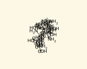 CC[C@H](C)[C@H](NC(=O)[C@H](CC(N)=O)NC(=O)[C@H](CCC(=O)O)NC(=O)[C@@H](NC(=O)[C@@H](NC(=O)[C@H](CCCCN)NC(=O)[C@H](CC(C)C)NC(=O)[C@H](CCCCN)NC(=O)[C@H](Cc1ccccc1)NC(=O)[C@H](CCC(=O)O)NC(=O)[C@@H](NC(=O)[C@@H](N)CCC(=O)O)C(C)C)[C@@H](C)O)[C@@H](C)O)C(=O)N1CCC[C@H]1C(=O)NCC(=O)NCC(=O)O